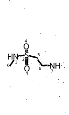 CNS(=O)(=O)CC[NH]